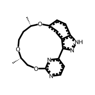 C[C@H]1COc2nccc(n2)-c2n[nH]c3ccc(cc23)O[C@@H](C)CCO1